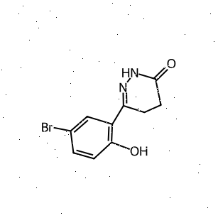 O=C1CCC(c2cc(Br)ccc2O)=NN1